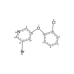 Clc1ccccc1Oc1cncc(Br)c1